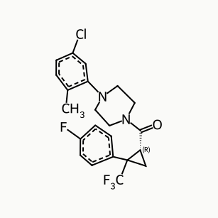 Cc1ccc(Cl)cc1N1CCN(C(=O)[C@@H]2CC2(c2ccc(F)cc2)C(F)(F)F)CC1